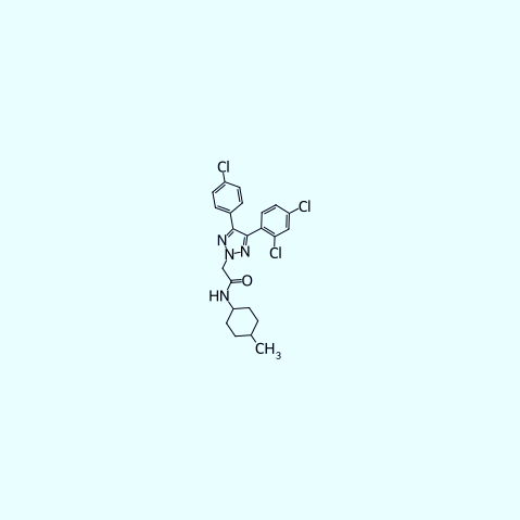 CC1CCC(NC(=O)Cn2nc(-c3ccc(Cl)cc3)c(-c3ccc(Cl)cc3Cl)n2)CC1